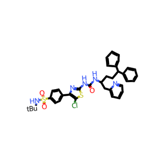 CC(C)(C)NS(=O)(=O)c1ccc(-c2nc(NC(=O)NC(CCC(c3ccccc3)c3ccccc3)Cc3ccccn3)sc2Cl)cc1